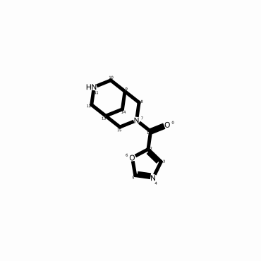 O=C(c1cnco1)N1CC2CNCC(C2)C1